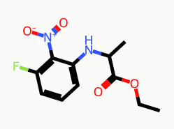 CCOC(=O)C(C)Nc1cccc(F)c1[N+](=O)[O-]